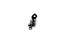 CS(=O)(=O)C(F)(F)C(F)(F)C(F)(F)C1CC2CCC1C2